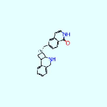 O=c1[nH]ccc2cc(C[C@H]3CC4c5ccccc5CNC43)ccc12